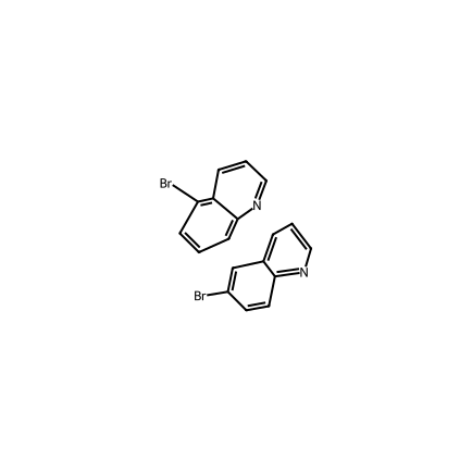 Brc1ccc2ncccc2c1.Brc1cccc2ncccc12